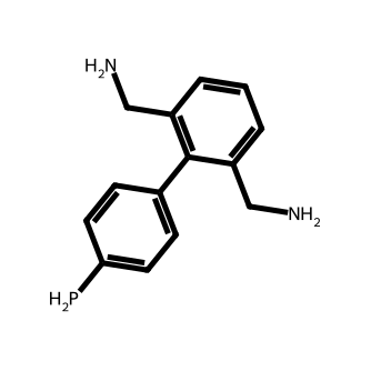 NCc1cccc(CN)c1-c1ccc(P)cc1